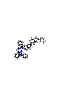 c1ccc(-c2ccc3ccc(-c4ccc5ccc(N(c6ccccc6)c6ccc7c8ccccc8n(-c8ccccc8)c7c6)cc5c4)cc3c2)cc1